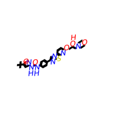 CC(C)(C)c1cc(NC(=O)Nc2ccc(-c3cn4c(n3)sc3nc(OCC(O)CN5CCOCC5)ccc34)cc2)no1